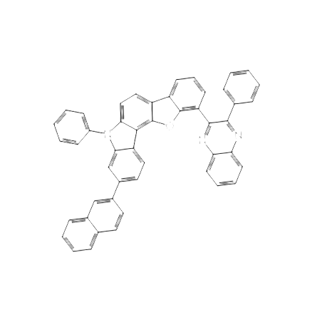 c1ccc(-c2nc3ccccc3nc2-c2cccc3c2oc2c3ccc3c2c2ccc(-c4ccc5ccccc5c4)cc2n3-c2ccccc2)cc1